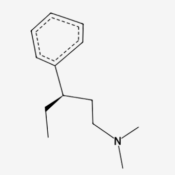 CC[C@H](CCN(C)C)c1ccccc1